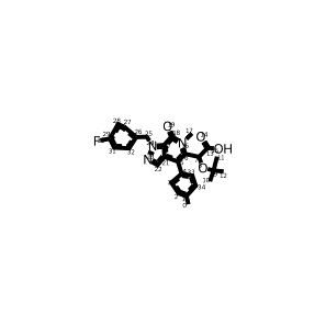 Cc1ccc(-c2c(C(OC(C)(C)C)C(=O)O)n(C)c(=O)c3c2cnn3Cc2ccc(F)cc2)cc1